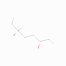 N[C@](O)(CO)[C@@H](O)[C@H](O)[C@H](O)CO